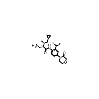 CN(CC1CC1)[C@@H](CN)C(=O)Nc1ccc(N2CCOCC2=O)cc1C(F)F